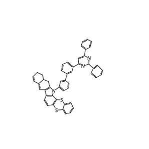 C1=CC2=Cc3c(n(-c4cccc(-c5cccc(-c6cc(-c7ccccc7)nc(-c7ccccc7)n6)c5)c4)c4c5c(ccc34)Sc3ccccc3S5)CC2CC1